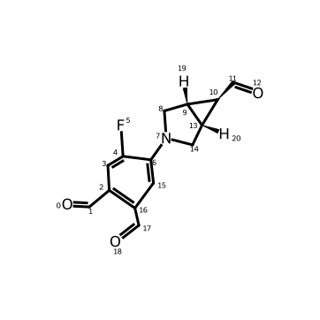 O=Cc1cc(F)c(N2C[C@@H]3[C@@H](C=O)[C@@H]3C2)cc1C=O